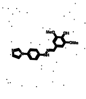 COc1cc(C=NNc2ccc(-n3ccnc3)cc2)cc(OC)c1O